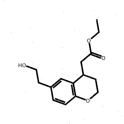 CCOC(=O)CC1CCOc2ccc(CCO)cc21